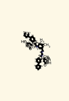 CC1(C)CC(/C=C/C=C2\Sc3ccc(-c4ccccc4)cc3N2C(C)(CC(=O)O)[SH](=O)=O)=CC(=C/c2sc3ccc(-c4ccccc4)cc3[n+]2C(C)(CC(=O)O)[SH](=O)=O)/C1